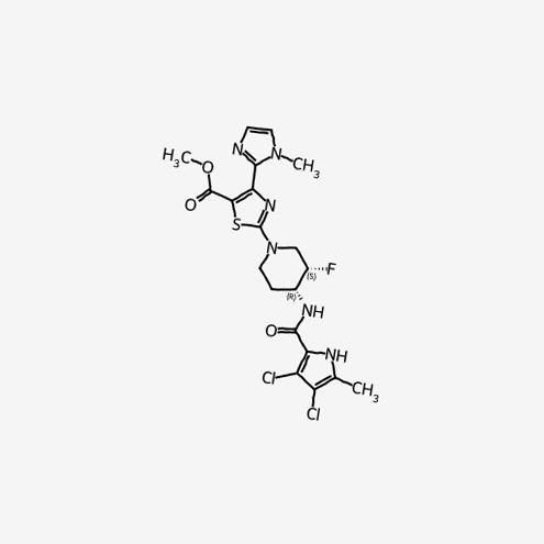 COC(=O)c1sc(N2CC[C@@H](NC(=O)c3[nH]c(C)c(Cl)c3Cl)[C@@H](F)C2)nc1-c1nccn1C